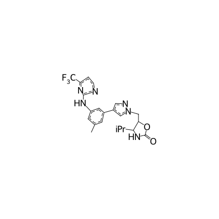 Cc1cc(Nc2nccc(C(F)(F)F)n2)cc(-c2cnn(CC3OC(=O)NC3C(C)C)c2)c1